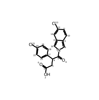 O=C(O)CC(C(=O)n1cc2ccc(Cl)cc2c1)c1ccc(Cl)cc1